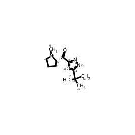 CN1CCC[C@H]1C(=O)c1nnc(C(C)(C)C)o1